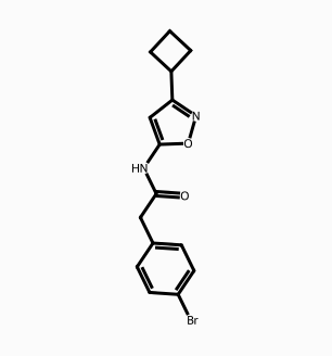 O=C(Cc1ccc(Br)cc1)Nc1cc(C2CCC2)no1